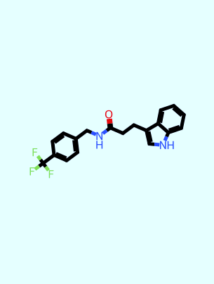 O=C(CCc1c[nH]c2ccccc12)NCc1ccc(C(F)(F)F)cc1